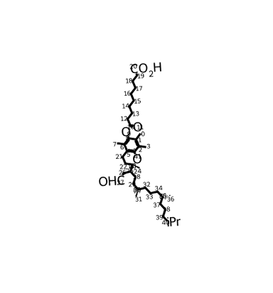 Cc1c(C)c2c(c(C)c1OC(=O)CCCCCCCCC(=O)O)CC[C@@](C)(C(CC=O)CC[C@H](C)CCC[C@H](C)CCCC(C)C)O2